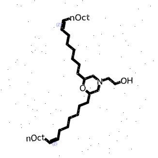 CCCCCCCC/C=C\CCCCCCC1CN(CCO)CC(CCCCCC/C=C\CCCCCCCC)O1